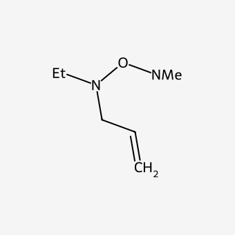 C=CCN(CC)ONC